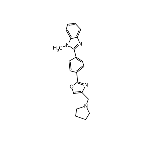 Cn1c(-c2ccc(-c3nc(CN4CCCC4)co3)cc2)nc2ccccc21